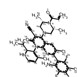 C=CC(=O)N1[C@H](C)CN(c2c(C#N)c(=O)n(C3=C(C)C=CNC3C(C)C)c3nc(-c4c(N)c(F)c(F)c(Cl)c4F)c(Cl)cc23)C[C@@H]1C